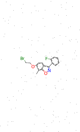 Cc1c(OCCBr)ccc2c(-c3ccccc3F)noc12